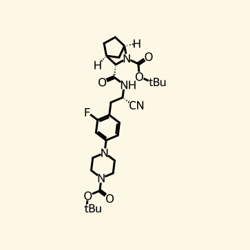 CC(C)(C)OC(=O)N1CCN(c2ccc(C[C@@H](C#N)NC(=O)[C@@H]3[C@H]4CC[C@H](C4)N3C(=O)OC(C)(C)C)c(F)c2)CC1